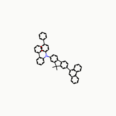 CC1(C)c2cc(-c3cc4ccccc4c4ccccc34)ccc2-c2ccc(N(c3ccc(-c4ccccc4)cc3)c3ccccc3-c3ccccc3)cc21